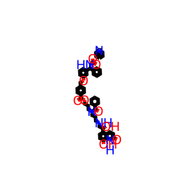 O=C(N[C@@H](c1ccccc1)c1cccc(OCc2ccc(C(=O)OCCCN(CCCNCC(O)c3ccc(O)c4[nH]c(=O)ccc34)C(=O)C3CCCCC3)cc2)c1)OC1CN2CCC1CC2